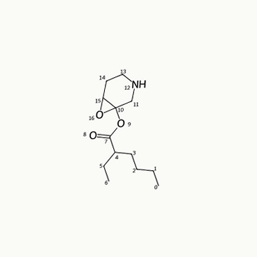 CCCCC(CC)C(=O)OC12CNCCC1O2